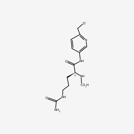 NC(=O)NCCC[C@H](NC(=O)O)C(=O)Nc1ccc(CCl)nc1